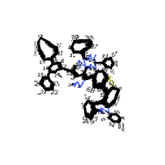 C=N/C(=C(\C=C(/C)c1cc(-c2ccccc2)cc(-c2ccccc2)c1)c1nc(-c2ccccc2)nc(-c2ccccc2)n1)c1ccc2sc3ccc4c(c5ccccc5n4-c4ccccc4)c3c2c1